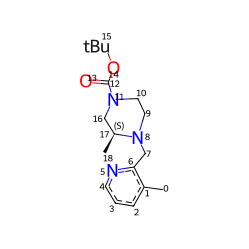 Cc1cccnc1CN1CCN(C(=O)OC(C)(C)C)C[C@@H]1C